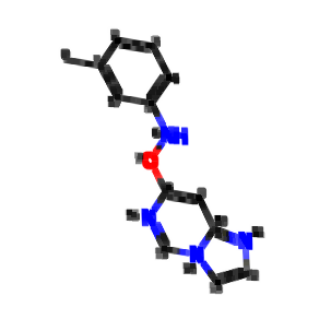 Cc1cccc(NOc2cc3nccn3cn2)c1